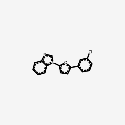 Clc1cccc(-c2ccc(-n3cnc4ccccc43)o2)c1